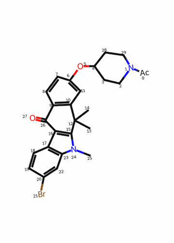 CC(=O)N1CCC(Oc2ccc3c(c2)C(C)(C)c2c(c4ccc(Br)cc4n2C)C3=O)CC1